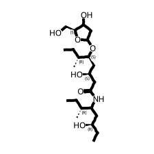 CC[C@@H](O)CC(NC(=O)C[C@@H](O)C[C@H](OC1CC(O)[C@H](CO)O1)[C@H](C)CC)[C@H](C)CC